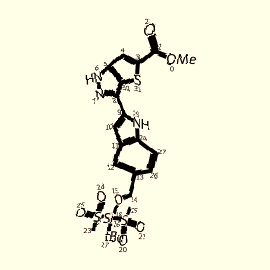 COC(=O)c1cc2[nH]nc(-c3cc4cc(CO[Si](C(C)(C)C)(S(C)(=O)=O)S(C)(=O)=O)ccc4[nH]3)c2s1